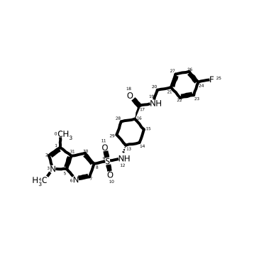 Cc1cn(C)c2ncc(S(=O)(=O)N[C@H]3CC[C@H](C(=O)NCc4ccc(F)cc4)CC3)cc12